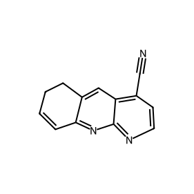 N#Cc1ccnc2nc3c(cc12)CCC=C3